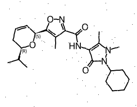 Cc1c(C(=O)Nc2c(C)n(C)n(C3CCCCC3)c2=O)noc1[C@@H]1C=CC[C@H](C(C)C)O1